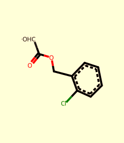 O=[C]C(=O)OCc1ccccc1Cl